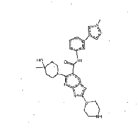 Cn1cc(-c2cccc(NC(=O)c3cc4oc(N5CCNCC5)nc4nc3N3CCC(C)(O)CC3)n2)cn1